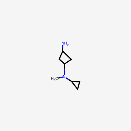 CN(C1CC1)C1CC(N)C1